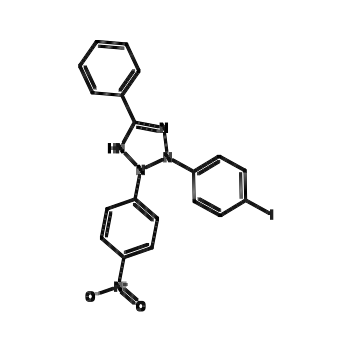 O=[N+]([O-])c1ccc(N2NC(c3ccccc3)=NN2c2ccc(I)cc2)cc1